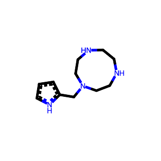 c1c[nH]c(CN2CCNCCNCC2)c1